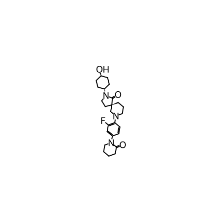 O=C1CCCCN1c1ccc(N2CCC[C@]3(CCN([C@H]4CC[C@H](O)CC4)C3=O)C2)c(F)c1